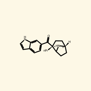 CCC[C@@]1(C(=O)c2ccc3cc[nH]c3c2)CC[C@@H]2CCC1N2